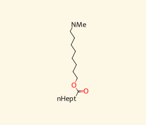 CCCCCCCC(=O)OCCCCCCCCNC